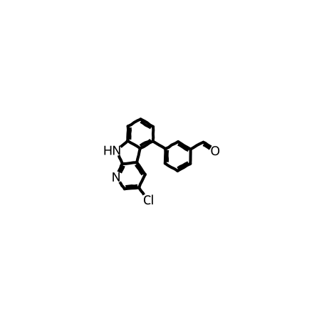 O=Cc1cccc(-c2cccc3[nH]c4ncc(Cl)cc4c23)c1